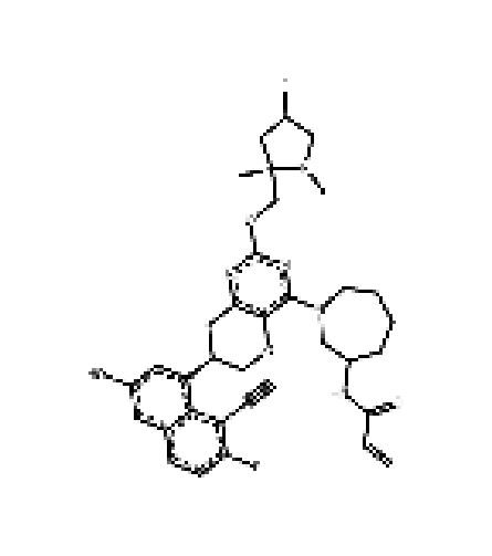 C#Cc1c(F)ccc2cc(O)cc([C@@H]3COc4c(nc(OC[C@]5(C)C[C@@H](F)CN5C)nc4N4CCCCC(NC(=O)C=C)C4)C3)c12